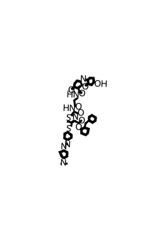 CN(C)c1ccc(N=Nc2ccc(SCC3=C(C(=O)OC(c4ccccc4)c4ccccc4)N4C(=O)C(NC(=O)CCNC(=O)c5c6oc7cc(O)ccc7nc-6ccc5=O)C4SC3)cc2)cc1